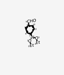 CCON(OCC)c1ccc(C=O)cc1